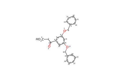 O=C(O)CC(=O)c1cc(OCc2ccccc2)cc(OCc2ccccc2)c1